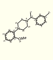 [CH2]c1cccc(C([CH2])N2CCN(c3ccccc3OC)CC2)c1